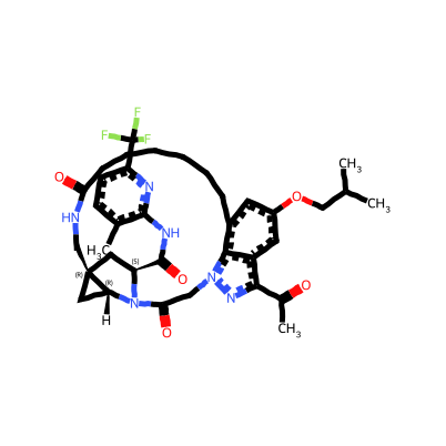 CC(=O)c1nn2c3c(cc(OCC(C)C)cc13)CCCCCCC(=O)NC[C@@]13C[C@@H](C(=O)Nc4nc(C(F)(F)F)ccc4C)N(C(=O)C2)[C@@H]1C3